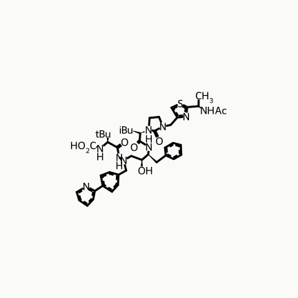 CC[C@H](C)[C@@H](C(=O)N[C@@H](Cc1ccccc1)[C@@H](O)CN(Cc1ccc(-c2ccccn2)cc1)NC(=O)[C@@H](NC(=O)O)C(C)(C)C)N1CCN(Cc2csc([C@H](C)NC(C)=O)n2)C1=O